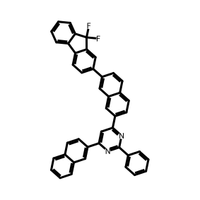 FC1(F)c2ccccc2-c2ccc(-c3ccc4ccc(-c5cc(-c6ccc7ccccc7c6)nc(-c6ccccc6)n5)cc4c3)cc21